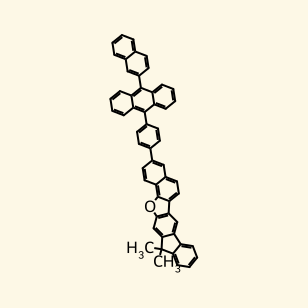 CC1(C)c2ccccc2-c2cc3c(cc21)oc1c2ccc(-c4ccc(-c5c6ccccc6c(-c6ccc7ccccc7c6)c6ccccc56)cc4)cc2ccc31